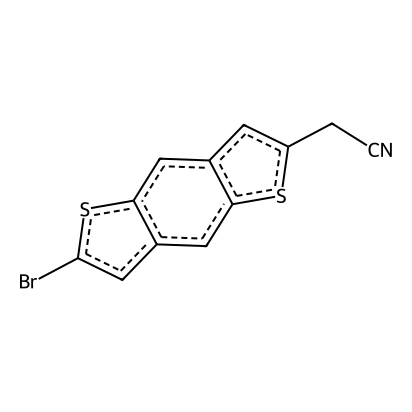 N#CCc1cc2cc3sc(Br)cc3cc2s1